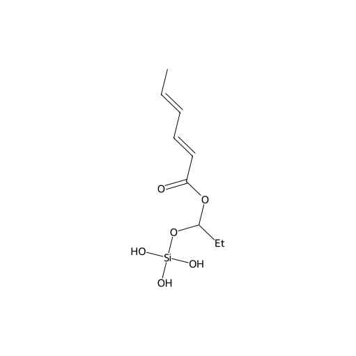 CC=CC=CC(=O)OC(CC)O[Si](O)(O)O